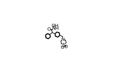 O=C(NO)C(c1ccccc1)c1ccc(CN2CCS(=O)(=O)CC2)cc1